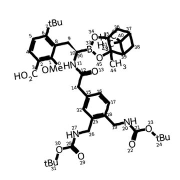 COc1c(C(=O)O)ccc(C(C)(C)C)c1C[C@H](NC(=O)Cc1ccc(CNC(=O)OC(C)(C)C)c(CNC(=O)OC(C)(C)C)c1)B1OC2CC3CC(C3(C)C)C2(C)O1